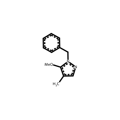 COc1c(C)cnn1Cc1ccccc1